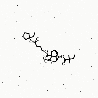 CCC1(OC(=O)CCCOC(=O)C23CC4CC2C(OC3=O)C4OC(=O)C(C)(C)CC)CCCC1